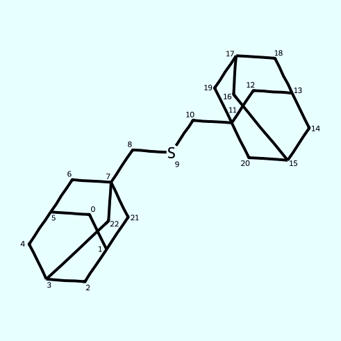 C1C2CC3CC1CC(CSCC14CC5CC(CC(C5)C1)C4)(C2)C3